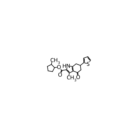 Cc1c(C(=O)OC2CCCC2C)[nH]c2c1C(=O)CC(c1cccs1)C2